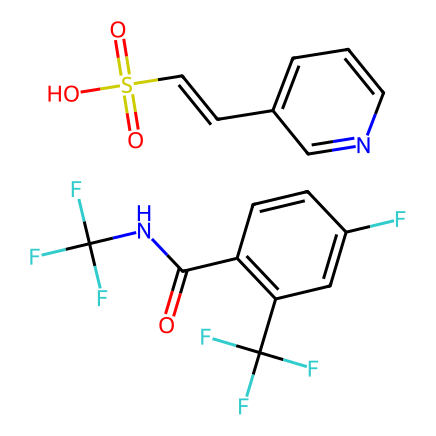 O=C(NC(F)(F)F)c1ccc(F)cc1C(F)(F)F.O=S(=O)(O)/C=C/c1cccnc1